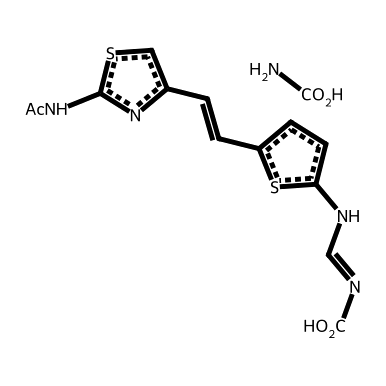 CC(=O)Nc1nc(C=Cc2ccc(NC=NC(=O)O)s2)cs1.NC(=O)O